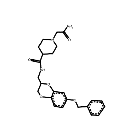 NC(=O)CN1CCC(C(=O)NCC2COc3ccc(OCc4ccccc4)cc3O2)CC1